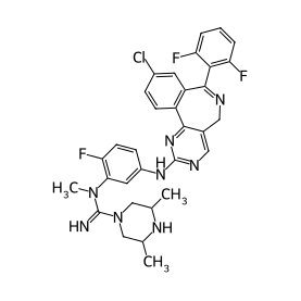 CC1CN(C(=N)N(C)c2cc(Nc3ncc4c(n3)-c3ccc(Cl)cc3C(c3c(F)cccc3F)=NC4)ccc2F)CC(C)N1